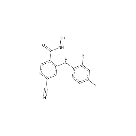 N#Cc1ccc(C(=O)NO)c(Nc2ccc(I)cc2F)c1